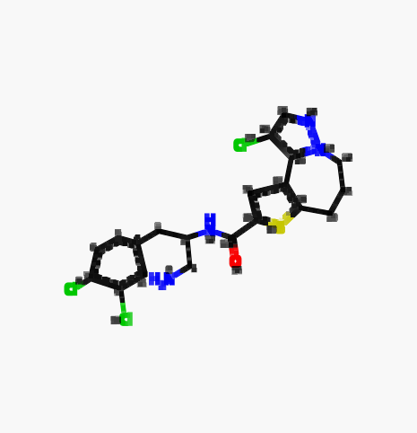 NCC(Cc1ccc(Cl)c(Cl)c1)NC(=O)c1cc2c(s1)CCCn1ncc(Cl)c1-2